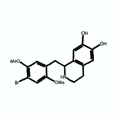 COc1cc(CC2NCCc3cc(O)c(O)cc32)c(OC)cc1Br